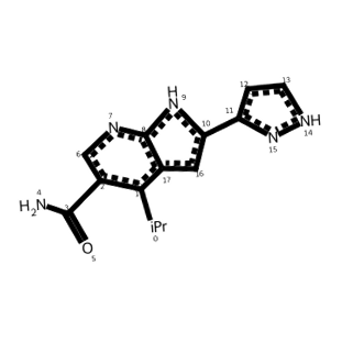 CC(C)c1c(C(N)=O)cnc2[nH]c(-c3cc[nH]n3)cc12